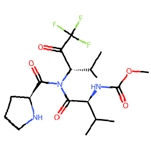 COC(=O)N[C@H](C(=O)N(C(=O)[C@@H]1CCCN1)[C@H](C(=O)C(F)(F)F)C(C)C)C(C)C